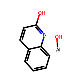 Oc1ccc2ccccc2n1.[OH][Al]